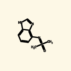 CS(C)(=O)=Nc1cccc2[nH]cnc12